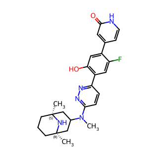 CN(c1ccc(-c2cc(F)c(-c3cc[nH]c(=O)c3)cc2O)nn1)C1C[C@]2(C)CCC[C@](C)(C1)N2